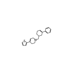 C1=C(c2ccccc2)CC(CN2CC=C(c3cccs3)CC2)CC1